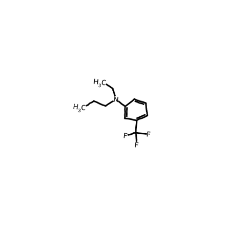 CCCN(CC)c1cccc(C(F)(F)F)c1